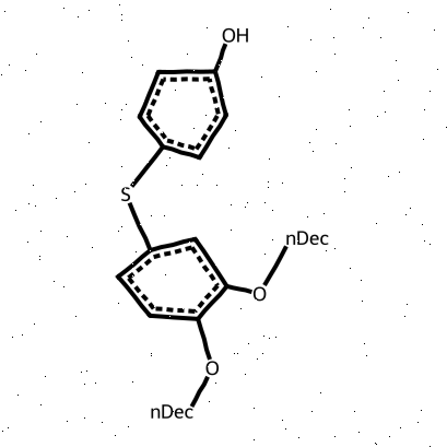 CCCCCCCCCCOc1ccc(Sc2ccc(O)cc2)cc1OCCCCCCCCCC